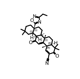 CCc1noc([C@]23CCC(C)(C)C[C@H]2[C@H]2C(=O)C=C4[C@@]5(C)C=C(C#N)C(=O)C(C)(C)[C@@H]5CC[C@@]4(C)[C@]2(C)CC3)n1